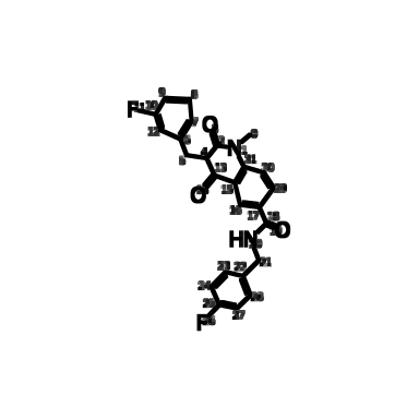 CN1C(=O)C(Cc2cccc(F)c2)C(=O)c2cc(C(=O)NCc3ccc(F)cc3)ccc21